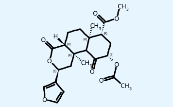 COC(=O)[C@@H]1C[C@H](OC(C)=O)C(=O)C2[C@@]1(C)CC[C@H]1C(=O)O[C@H](c3ccoc3)C[C@]21C